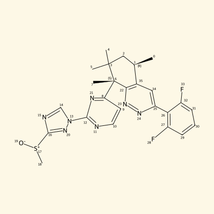 C[C@@H]1CC(C)(C)[C@@](C)(c2ccnc(-n3cnc([S+](C)[O-])n3)n2)c2nnc(-c3c(F)cccc3F)cc21